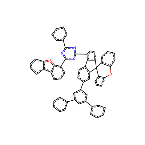 c1ccc(-c2cc(-c3ccccc3)cc(-c3ccc4c(c3)C3(c5ccccc5Oc5ccccc53)c3cccc(-c5nc(-c6ccccc6)nc(-c6cccc7c6oc6ccccc67)n5)c3-4)c2)cc1